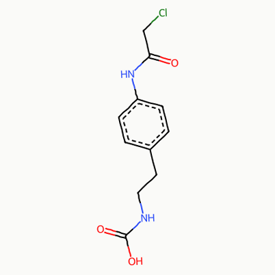 O=C(O)NCCc1ccc(NC(=O)CCl)cc1